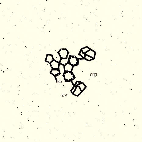 CC(C)(C)C1=CC2=C(C1)C1CCCC1C2(C1CCCCC1)C1c2ccc(C34CC5CC(CC(C5)C3)C4)cc2-c2cc(C34CC5CC(CC(C5)C3)C4)ccc21.[Cl-].[Cl-].[Zr+2]